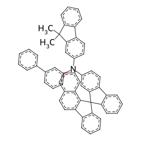 CC1(C)c2ccccc2-c2ccc(N(c3cccc(-c4ccccc4)c3)c3ccc4c(c3)C3(c5ccccc5-4)c4ccccc4-c4ccc5ccccc5c43)cc21